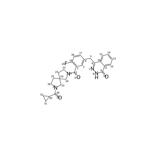 O=C(c1cc(Cc2n[nH]c(=O)c3ccccc23)ccc1F)N1CCC2(CCN(C(=O)C3CC3)C2)C1